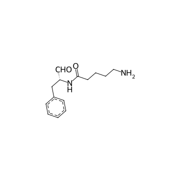 NCCCCC(=O)N[C@@H](C=O)Cc1ccccc1